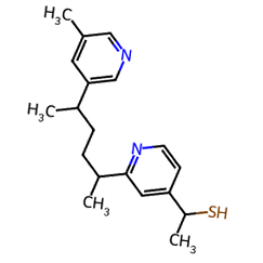 Cc1cncc(C(C)CCC(C)c2cc(C(C)S)ccn2)c1